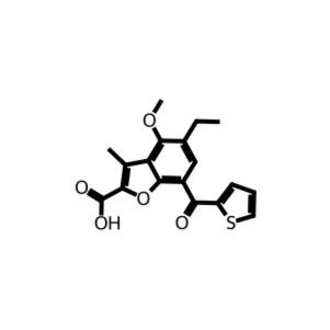 CCc1cc(C(=O)c2cccs2)c2oc(C(=O)O)c(C)c2c1OC